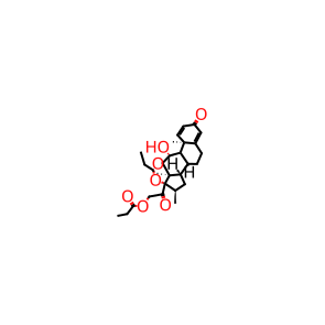 CCC(=O)OCC(=O)[C@@]1(OC(=O)CC)[C@H](C)C[C@H]2[C@@H]3CCC4=CC(=O)C=C[C@]4(C)C3[C@@H](O)C[C@@]21C